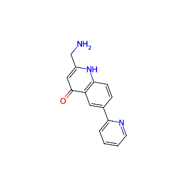 NCc1cc(=O)c2cc(-c3ccccn3)ccc2[nH]1